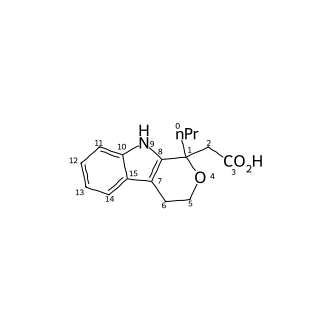 CCCC1(CC(=O)O)OCCc2c1[nH]c1ccccc21